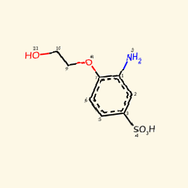 Nc1cc(S(=O)(=O)O)ccc1OCCO